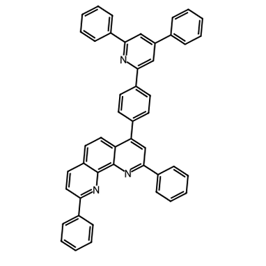 c1ccc(-c2cc(-c3ccccc3)nc(-c3ccc(-c4cc(-c5ccccc5)nc5c4ccc4ccc(-c6ccccc6)nc45)cc3)c2)cc1